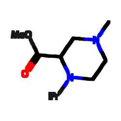 COC(=O)C1CN(C)CCN1C(C)C